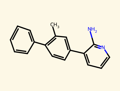 Cc1cc(-c2cccnc2N)ccc1-c1ccccc1